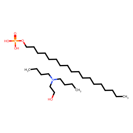 CCCCCCCCCCCCCCCCCCOP(=O)(O)O.CCCCN(CCO)CCCC